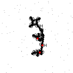 CC(C)(C)OC(=O)CC[C@H](NC(=O)N[C@@H](CCCCNC(=O)CCCCCN(Cc1ccc(OCc2cn(CCCNC(=O)CN3CCN(CC(=O)OC(C)(C)C)CCN(CC(=O)OC(C)(C)C)CCN(CC(=O)OC(C)(C)C)CC3)nn2)cc1)Cc1nccn1CC(=O)N(CC(=O)OC(C)(C)C)CC(=O)OC(C)(C)C)C(=O)OC(C)(C)C)C(=O)OC(C)(C)C